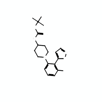 CC(C)(C)OC(=O)NC1CCN(c2cccc(Cl)c2-c2ccns2)CC1